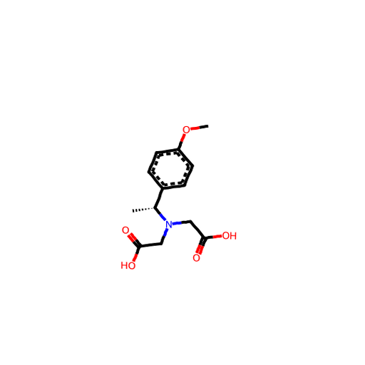 COc1ccc([C@@H](C)N(CC(=O)O)CC(=O)O)cc1